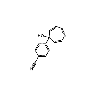 N#Cc1ccc(C2(O)C=CC=NC=C2)cc1